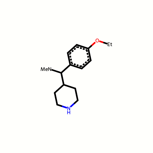 CCOc1ccc(C(NC)C2CCNCC2)cc1